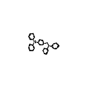 c1ccc(C(Cc2ccc(N(c3ccccc3)c3ccccc3)cc2)c2ccccc2)cc1